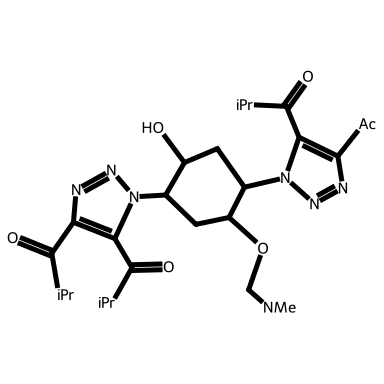 CNCOC1CC(n2nnc(C(=O)C(C)C)c2C(=O)C(C)C)C(O)CC1n1nnc(C(C)=O)c1C(=O)C(C)C